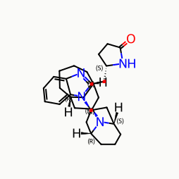 O=C1CC[C@@H](Cc2nc3ccccc3n2[C@@H]2C[C@H]3CCC[C@@H](C2)N3[C@H]2C[C@@H]3CCCC[C@@H](C3)C2)N1